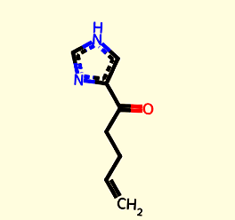 C=CCCC(=O)c1c[nH]cn1